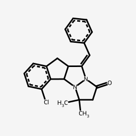 CC1(C)CC(=O)N2/C(=C/c3ccccc3)C3Cc4cccc(Cl)c4C3N21